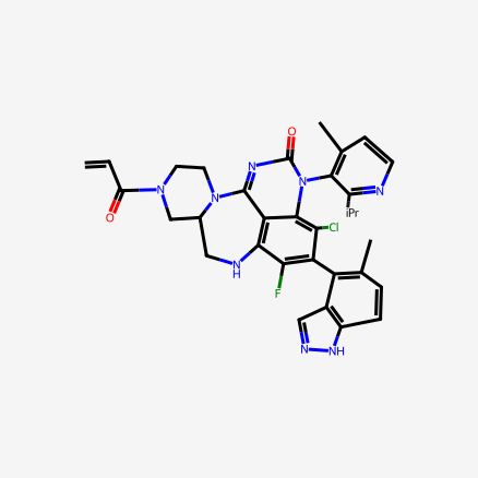 C=CC(=O)N1CCN2c3nc(=O)n(-c4c(C)ccnc4C(C)C)c4c(Cl)c(-c5c(C)ccc6[nH]ncc56)c(F)c(c34)NCC2C1